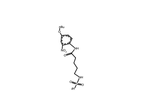 CCCCOc1ccc(NC(=O)CCCCNS(=O)(=O)C(C)C)c([N+](=O)[O-])c1